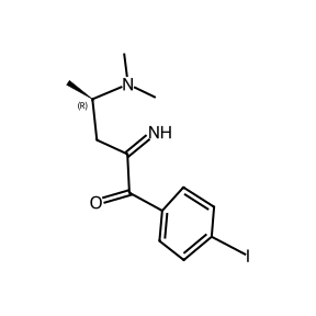 C[C@H](CC(=N)C(=O)c1ccc(I)cc1)N(C)C